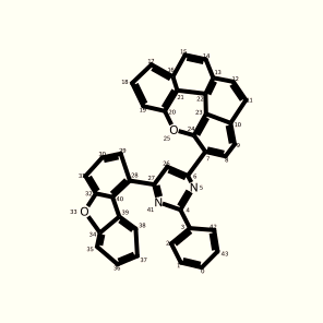 c1ccc(-c2nc(-c3ccc4ccc5ccc6cccc7c6c5c4c3O7)cc(-c3cccc4oc5ccccc5c34)n2)cc1